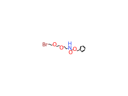 O=C(NCCOCCOCCBr)OCc1ccccc1